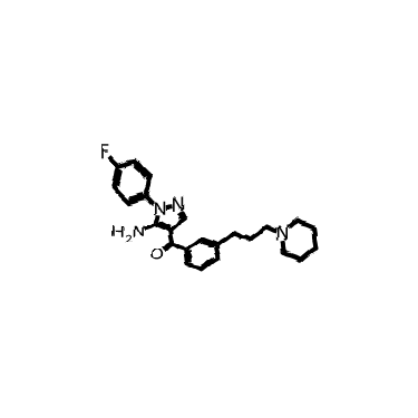 Nc1c(C(=O)c2cccc(CCCN3CCCCC3)c2)cnn1-c1ccc(F)cc1